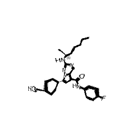 CCCCC[C@H](C)Nc1ncc2c(C(=O)Nc3ccc(F)cc3)cc([C@H]3CC[C@H](O)CC3)n2n1